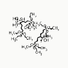 CCO[Si](CCCC(C)(CCC[Si](OCC)(OCC)OCC)P(O)(=S)S)(OCC)OCC.CCO[Si](CCCC(CCC[Si](OCC)(OCC)OCC)P(O)(=S)S)(OCC)OCC